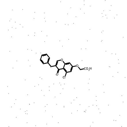 O=C(O)COc1cc(Cl)c2c(=O)c(Cc3ccccc3)coc2c1